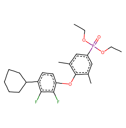 CCOP(=O)(OCC)c1cc(C)c(Oc2ccc(C3CCCCC3)c(F)c2F)c(C)c1